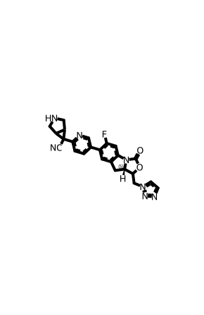 N#CC1(c2ccc(-c3cc4c(cc3F)N3C(=O)OC(Cn5ccnn5)[C@@H]3C4)cn2)C2CNCC21